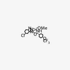 COCC(C#N)(Cn1nc2ccc(Cl)cc2n1)NC(=O)c1ccc(OC(F)(F)F)cc1